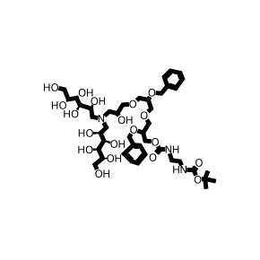 CC(C)(C)OC(=O)NCCNC(=O)OCC(COCC(COCC(O)CN(C[C@H](O)[C@@H](O)[C@H](O)[C@H](O)CO)C[C@H](O)[C@@H](O)[C@H](O)[C@H](O)CO)OCc1ccccc1)OCc1ccccc1